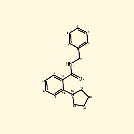 O=C(NCc1ccccc1)c1ccccc1N1CCCC1